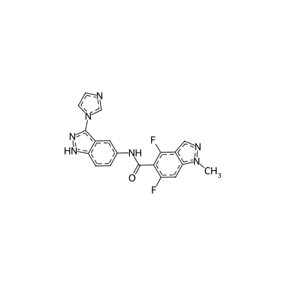 Cn1ncc2c(F)c(C(=O)Nc3ccc4[nH]nc(-n5ccnc5)c4c3)c(F)cc21